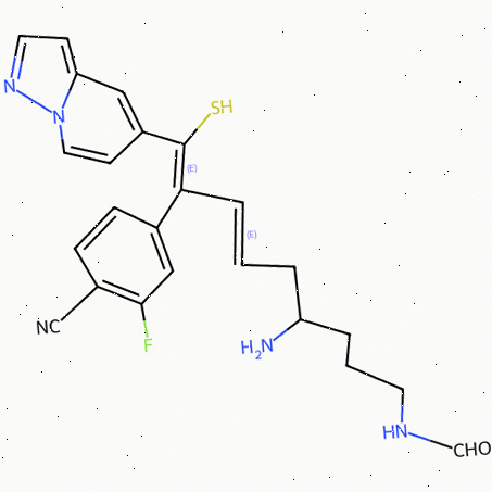 N#Cc1ccc(C(/C=C/CC(N)CCCNC=O)=C(/S)c2ccn3nccc3c2)cc1F